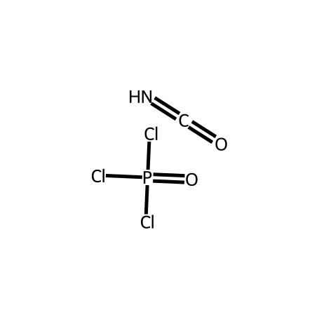 N=C=O.O=P(Cl)(Cl)Cl